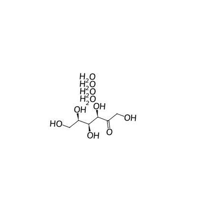 O.O.O.O.O=C(CO)[C@H](O)[C@@H](O)[C@H](O)CO